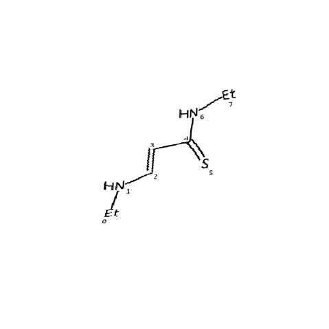 CCNC=CC(=S)NCC